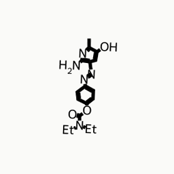 CCN(CC)C(=O)Oc1ccc(/N=N/c2cc(O)c(C)nc2N)cc1